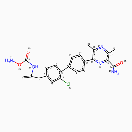 C=C(Cc1ccc(-c2ccc(-c3nc(C(N)=O)c(C)nc3C)cc2)c(Cl)c1)NC(=O)ON